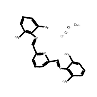 CCCc1cccc(CCC)c1N=Cc1cccc(C=Nc2c(CCC)cccc2CCC)n1.[Cl-].[Cl-].[Cl-].[Co+3]